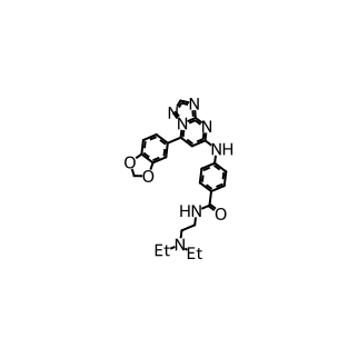 CCN(CC)CCNC(=O)c1ccc(Nc2cc(-c3ccc4c(c3)OCO4)n3ncnc3n2)cc1